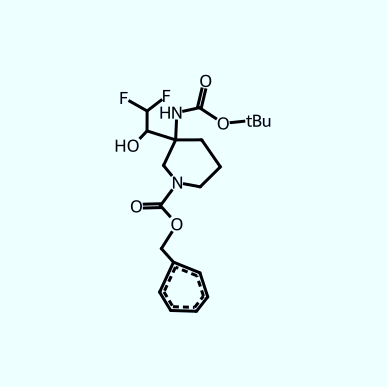 CC(C)(C)OC(=O)NC1(C(O)C(F)F)CCCN(C(=O)OCc2ccccc2)C1